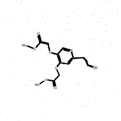 CC(C)(C)OC(=O)COc1cnc(CCO)cc1OCC(=O)OC(C)(C)C